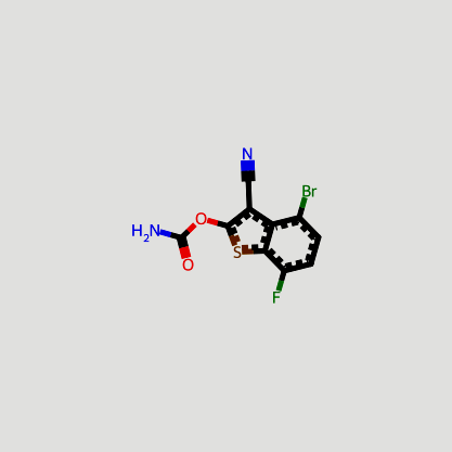 N#Cc1c(OC(N)=O)sc2c(F)ccc(Br)c12